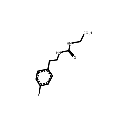 O=C(O)CNC(=O)NCCc1ccc(F)cc1